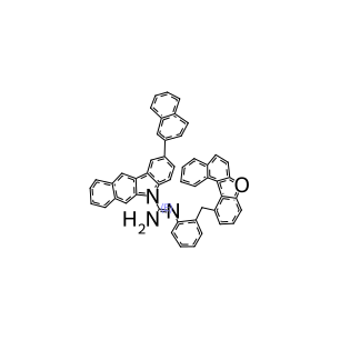 N/C(=N\c1ccccc1Cc1cccc2oc3ccc4ccccc4c3c12)n1c2ccc(-c3ccc4ccccc4c3)cc2c2cc3ccccc3cc21